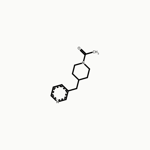 CC(=O)N1CCC(Cc2cccnc2)CC1